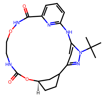 CC(C)(C)n1nc2cc1Nc1cccc(n1)C(=O)NOCCNC(=O)O[C@@H]1CCC2C1